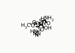 CCOP(=O)(O)CC(Sc1nnn[nH]1)C1=C(C(=O)O)N2C(=O)[C@@H](N)[C@@H]2SC1